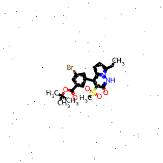 CCc1ccc2c(-c3cc(Br)cc(C(=O)OC(C)(C)C)c3)c(S(C)(=O)=O)c(=O)[nH]n12